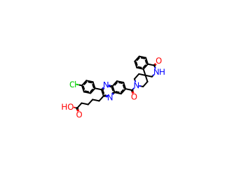 O=C(O)CCCCc1nc2cc(C(=O)N3CCC4(CC3)CNC(=O)c3ccccc34)ccc2nc1-c1ccc(Cl)cc1